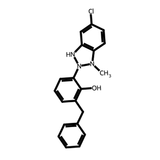 CN1c2ccc(Cl)cc2NN1c1cccc(Cc2ccccc2)c1O